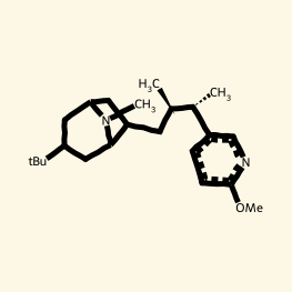 COc1ccc([C@@H](C)[C@H](C)CC2CC3CC(C(C)(C)C)CC2N3C)cn1